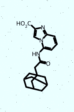 O=C(CC12CC3CC(CC(C3)C1)C2)Nc1cccc2nc(C(=O)O)cn12